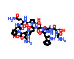 C[C@H](NC(=O)[C@H](CO)NC(=O)CN)C(=O)N[C@@H](Cc1c[nH]c2ccccc12)C(=O)N[C@@H](CO)C(=O)N[C@@H](Cc1c[nH]cn1)C(=O)N1CCC[C@H]1C(=O)N[C@@H](CCC(N)=O)C(=O)N[C@@H](Cc1ccccc1)C(=O)N[C@@H](CCCCN)C(=O)O